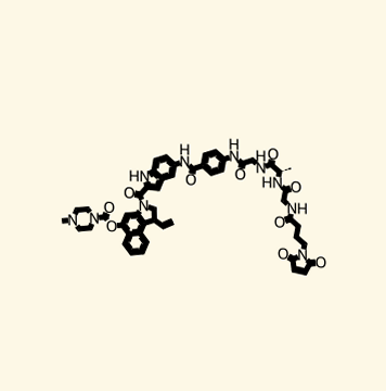 C=CC1CN(C(=O)c2cc3cc(NC(=O)c4ccc(NC(=O)CNC(=O)[C@H](C)NC(=O)CNC(=O)CCCN5C(=O)C=CC5=O)cc4)ccc3[nH]2)c2cc(OC(=O)N3CCN(C)CC3)c3ccccc3c21